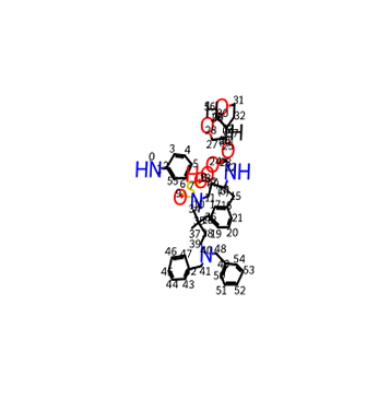 CNc1cccc(S(=O)(=O)N(C[C@@H](O)[C@H](Cc2ccccc2)NC(=O)O[C@H]2CO[C@H]3OCC[C@H]32)CC(C)(C)CCN(Cc2ccccc2)Cc2ccccc2)c1